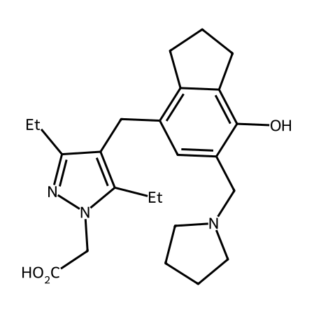 CCc1nn(CC(=O)O)c(CC)c1Cc1cc(CN2CCCC2)c(O)c2c1CCC2